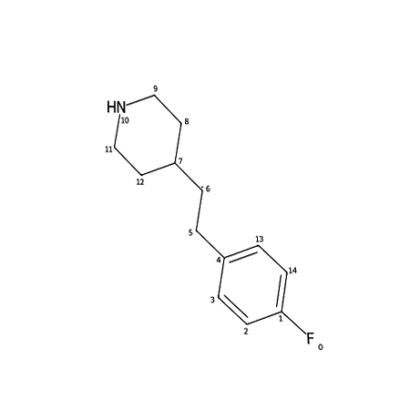 Fc1ccc(C[CH]C2CCNCC2)cc1